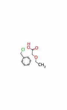 CCOCC(=O)O.ClCc1ccccc1